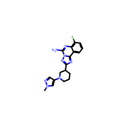 Cn1cc(N2CCCC(c3nc4c5cccc(F)c5nc(N)n4n3)C2)cn1